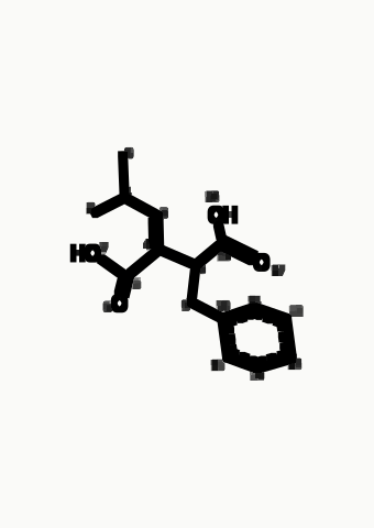 CC(C)C=C(C(=O)O)C(Cc1ccccc1)C(=O)O